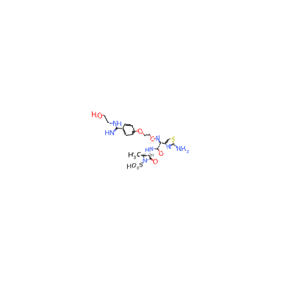 C[C@H]1[C@H](NC(=O)C(=NOCCOc2ccc(C(=N)NCCO)cc2)c2csc(N)n2)C(=O)N1S(=O)(=O)O